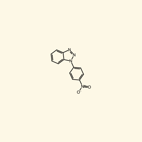 O=[N+]([O-])c1ccc(-n2nnc3ccccc32)cc1